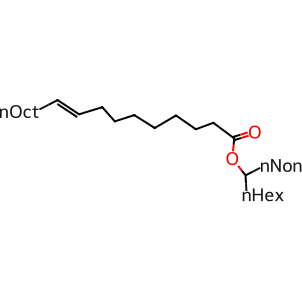 CCCCCCCCC=CCCCCCCCC(=O)OC(CCCCCC)CCCCCCCCC